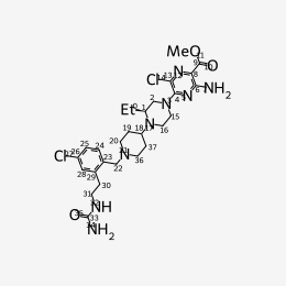 CC[C@H]1CN(c2nc(N)c(C(=O)OC)nc2Cl)CCN1C1CCN(Cc2ccc(Cl)cc2CCNC(N)=O)CC1